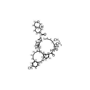 C[C@@H]1[C@@H](C)CCC[C@@]2(C[C@@H]2C(=O)N2CCN3CCOC[C@H]3C2)[C@@H]2CC[C@H]2CN2CCCCc3cc(Cl)ccc3COc3ccc(cc32)C(=O)NS1(=O)=O